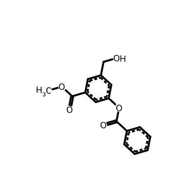 COC(=O)c1cc(CO)cc(OC(=O)c2ccccc2)c1